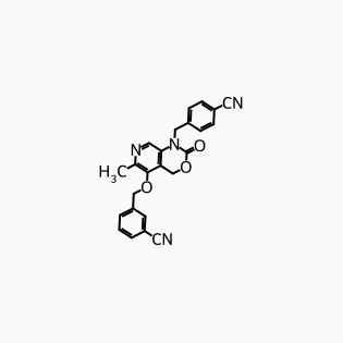 Cc1ncc2c(c1OCc1cccc(C#N)c1)COC(=O)N2Cc1ccc(C#N)cc1